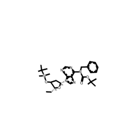 CC[C@H]1O[C@@H](n2cnc3c(N(Cc4ccccc4)C(=O)OC(C)(C)C)ncnc32)CC1O[Si](C)(C)C(C)(C)C